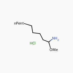 CCCCCCCCCC(N)OC.Cl